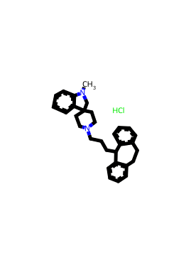 CN1CC2(CCN(CCCC3c4ccccc4CCc4ccccc43)CC2)c2ccccc21.Cl